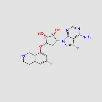 Nc1ncnc2c1c(F)cn2C1CC(Oc2cc(F)cc3c2CNCC3)[C@@H](O)[C@H]1O